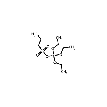 CCCS(=O)(=O)O[Si](OCC)(OCC)OCC